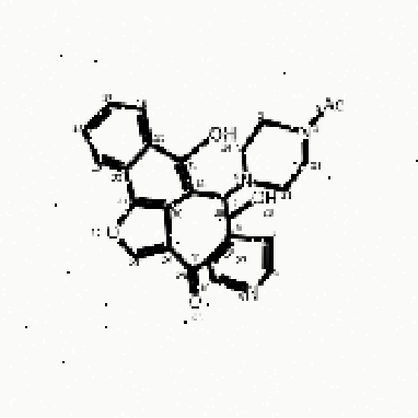 CC(=O)N1CCN(C(c2ccncc2)c2c(O)c3ccccc3c3occ(C(=O)OCO)c23)CC1